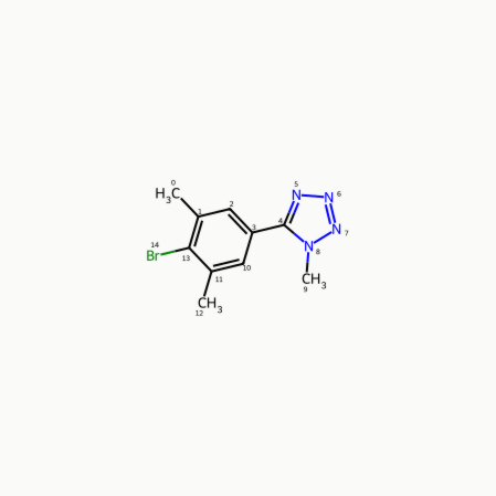 Cc1cc(-c2nnnn2C)cc(C)c1Br